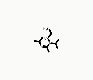 CC(=NC(C)C)N([SiH2]C[SiH3])C(C)C